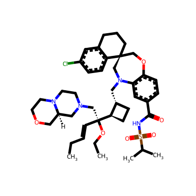 CC/C=C/[C@](CN1CCN2CCOC[C@@H]2C1)(OCC)[C@@H]1CC[C@H]1CN1C[C@@]2(CCCc3cc(Cl)ccc32)COc2ccc(C(=O)NS(=O)(=O)C(C)C)cc21